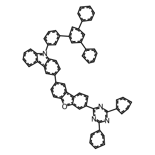 c1ccc(-c2cc(-c3ccccc3)cc(-c3cccc(-n4c5ccccc5c5cc(-c6ccc7oc8cc(-c9nc(-c%10ccccc%10)nc(-c%10ccccc%10)n9)ccc8c7c6)ccc54)c3)c2)cc1